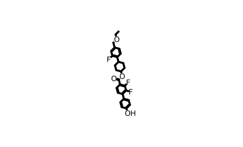 CCOCc1ccc(C2CCC(OC(=O)c3ccc(-c4ccc(O)cc4)c(F)c3F)CC2)c(F)c1